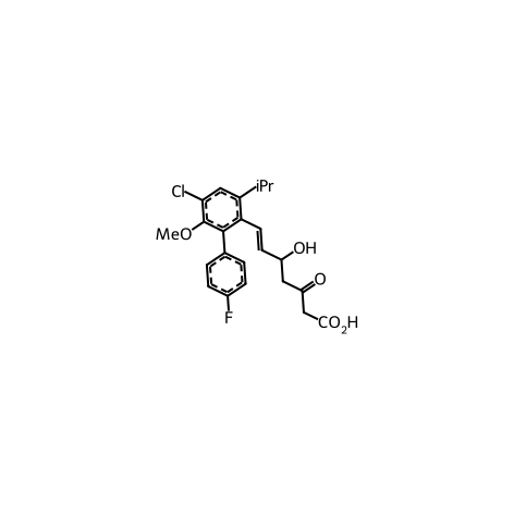 COc1c(Cl)cc(C(C)C)c(C=CC(O)CC(=O)CC(=O)O)c1-c1ccc(F)cc1